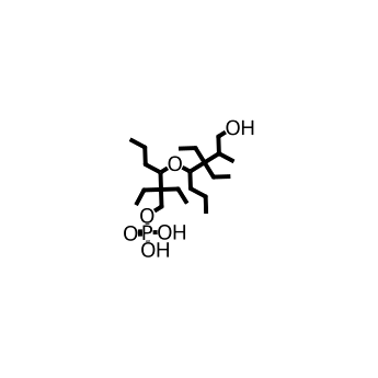 CCCC(OC(CCC)C(CC)(CC)C(C)CO)C(CC)(CC)COP(=O)(O)O